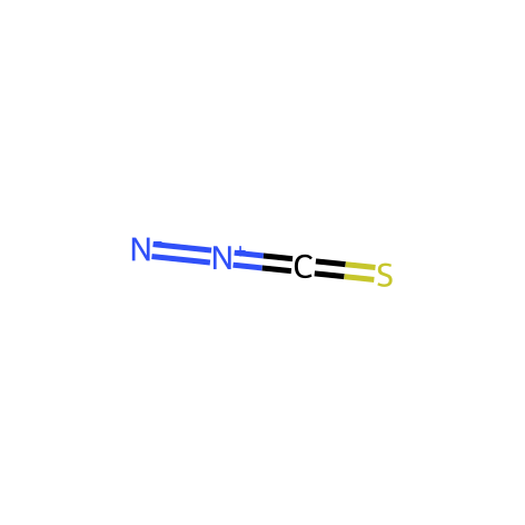 [N-]=[N+]=C=S